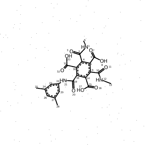 CNC(=O)c1c(C(=O)O)c(C(=O)NC)c(C(=O)O)c(C(=O)Nc2cc(C)cc(C)c2)c1C(=O)O